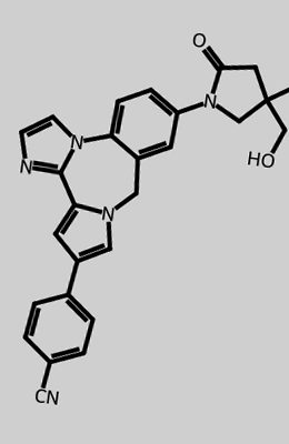 CC1(CO)CC(=O)N(c2ccc3c(c2)Cn2cc(-c4ccc(C#N)cc4)cc2-c2nccn2-3)C1